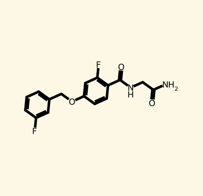 NC(=O)CNC(=O)c1ccc(OCc2cccc(F)c2)cc1F